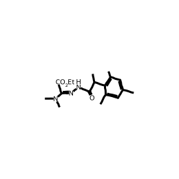 CCOC(=O)/C(=N\NC(=O)C(C)c1c(C)cc(C)cc1C)N(C)C